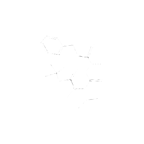 CC(OC(=O)[C@H](C(C)C)N(C)C(=O)OC(C)(C)C)C(=O)OCc1ccccc1